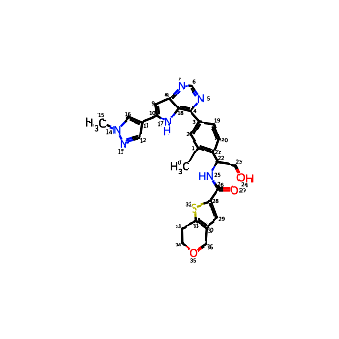 Cc1cc(-c2ncnc3cc(-c4cnn(C)c4)[nH]c23)ccc1C(CO)NC(=O)c1cc2c(s1)CCOC2